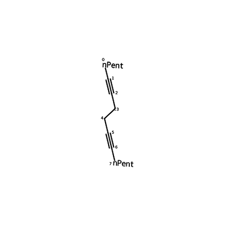 CCCCCC#C[CH]CC#CCCCCC